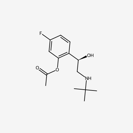 CC(=O)Oc1cc(F)ccc1[C@@H](O)CNC(C)(C)C